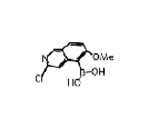 COc1ccc2cnc(Cl)cc2c1B(O)O